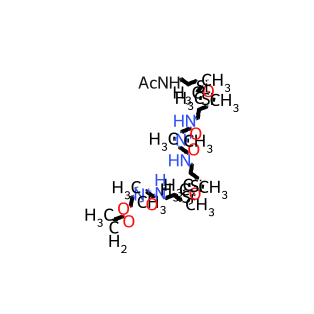 C=C(C)C(=O)OCC[N+](C)(C)CC(=O)NCCC[Si](C)(C)O[Si](C)(C)CCCNC(=O)C[N+](C)(C)CC(=O)NCCC[Si](C)(C)O[Si](C)(C)CCCNC(C)=O